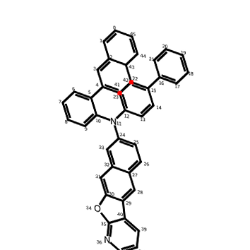 C1=CC2=CC(c3ccccc3N(c3ccc(-c4ccccc4)cc3)c3ccc4cc5c(cc4c3)oc3ncccc35)=CCC2C=C1